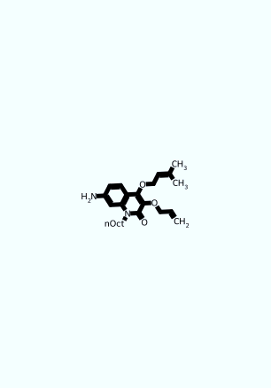 C=CCOc1c(OCC=C(C)C)c2ccc(N)cc2n(CCCCCCCC)c1=O